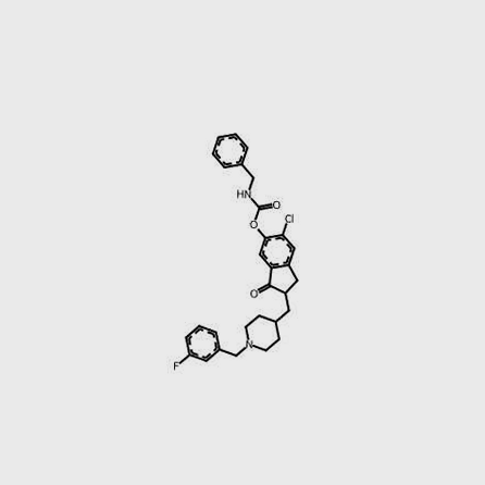 O=C(NCc1ccccc1)Oc1cc2c(cc1Cl)CC(CC1CCN(Cc3cccc(F)c3)CC1)C2=O